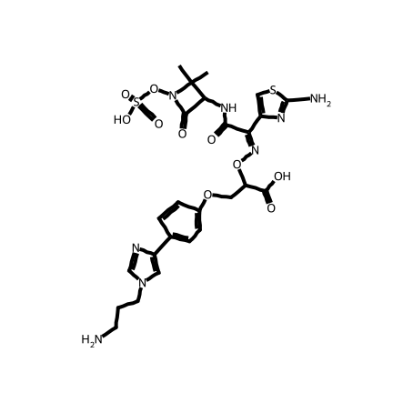 CC1(C)C(NC(=O)C(=NOC(COc2ccc(-c3cn(CCCN)cn3)cc2)C(=O)O)c2csc(N)n2)C(=O)N1OS(=O)(=O)O